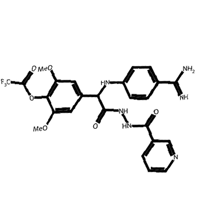 COc1cc(C(Nc2ccc(C(=N)N)cc2)C(=O)NNC(=O)c2cccnc2)cc(OC)c1OC(=O)C(F)(F)F